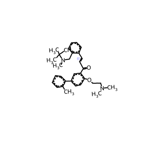 Cc1ccccc1-c1ccc(OCCN(C)C)c(C(=O)/C=C/c2ccccc2CN(C)C(C)(C)C)c1